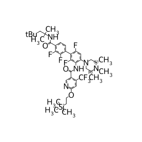 C[C@@H]1CN(c2cc(F)c(-c3ccc(C(=O)NC(C)(C)CC(C)(C)C)c(F)c3F)c(F)c2NC(=O)c2cnc(OCC[Si](C)(C)C)cc2C(F)(F)F)C[C@H](C)N1C